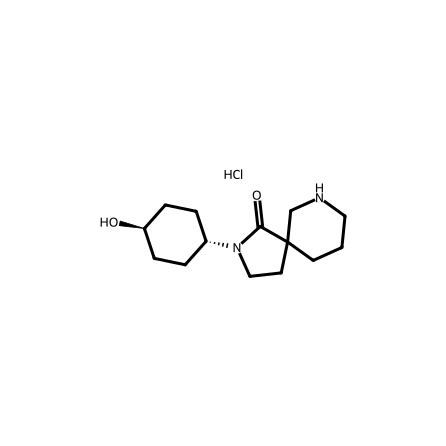 Cl.O=C1N([C@H]2CC[C@H](O)CC2)CCC12CCCNC2